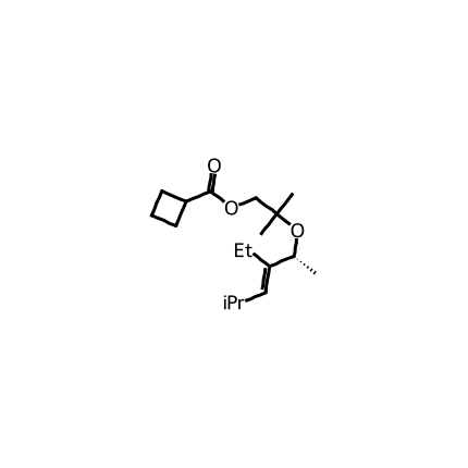 CC/C(=C\C(C)C)[C@@H](C)OC(C)(C)COC(=O)C1CCC1